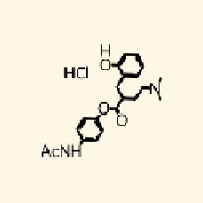 CC(=O)Nc1ccc(OC(=O)C(CCN(C)C)Cc2ccccc2O)cc1.Cl